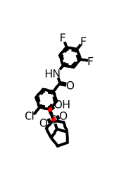 O=C(Nc1cc(F)c(F)c(F)c1)c1ccc(Cl)c(S(=O)(=O)C2C3CCC2CC(CO)C3)c1